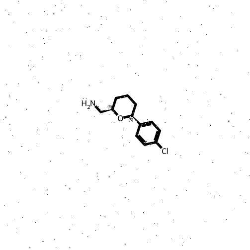 NC[C@H]1CCC[C@@H](c2ccc(Cl)cc2)O1